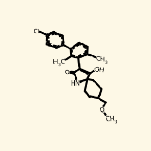 COCC1CCC2(CC1)NC(=O)C(c1c(C)ccc(-c3ccc(Cl)cc3)c1C)=C2O